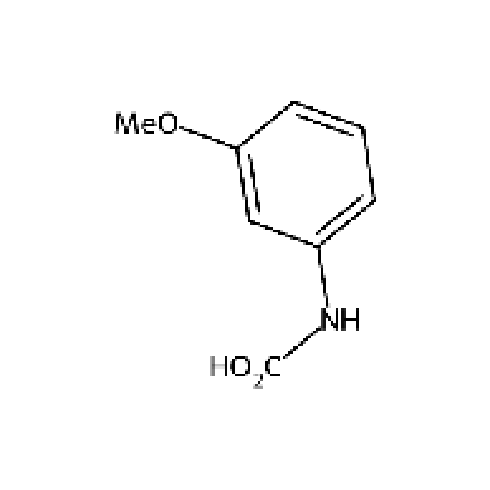 COc1cccc(NC(=O)O)c1